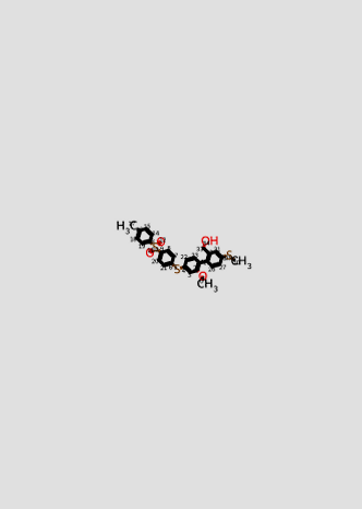 COc1cc(Sc2ccc(S(=O)(=O)c3ccc(C)cc3)cc2)ccc1-c1ccc(SC)cc1CO